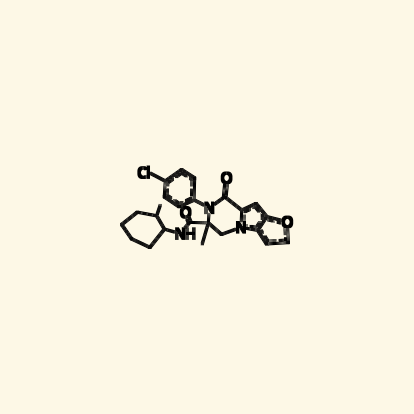 CC1CCCCC1NC(=O)C1(C)Cn2c(cc3occc32)C(=O)N1c1ccc(Cl)cc1